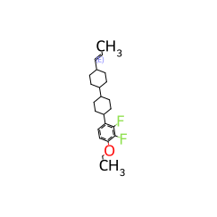 C/C=C/C1CCC(C2CCC(c3ccc(OCC)c(F)c3F)CC2)CC1